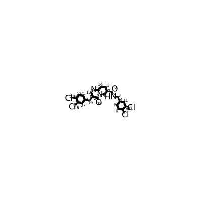 O=C(NCc1ccc(Cl)c(Cl)c1)c1ccc2ncc(Cc3ccc(Cl)c(Cl)c3)c(=O)n2c1